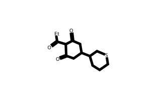 CCC(=O)C1C(=O)CC(C2CCCSC2)CC1=O